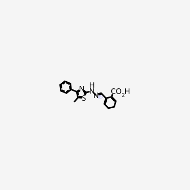 Cc1sc(N/N=C/C2=CCCC=C2C(=O)O)nc1-c1ccccc1